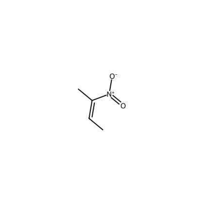 CC=C(C)[N+](=O)[O-]